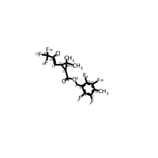 Cc1c(F)c(F)c(COC(=O)C2C(C=C(Cl)C(F)(F)F)C2(C)C)c(F)c1F